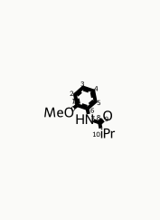 COc1[c]cccc1NC(=O)C(C)C